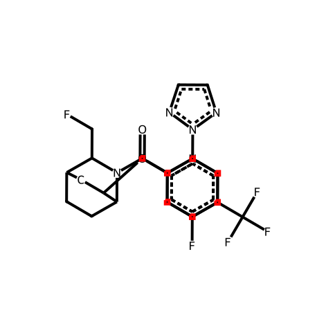 O=C(c1cc(F)ccc1-n1nccn1)N1C(CF)C2CCC1C(Oc1ccc(C(F)(F)F)cn1)C2